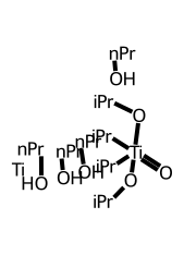 CC(C)[O][Ti](=[O])([O]C(C)C)([CH](C)C)[CH](C)C.CCCO.CCCO.CCCO.CCCO.[Ti]